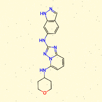 c1cc(NC2CCOCC2)n2nc(Nc3ccc4cn[nH]c4c3)nc2c1